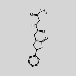 NC(=O)CNC(=O)CN1CC(c2ccccc2)CC1=O